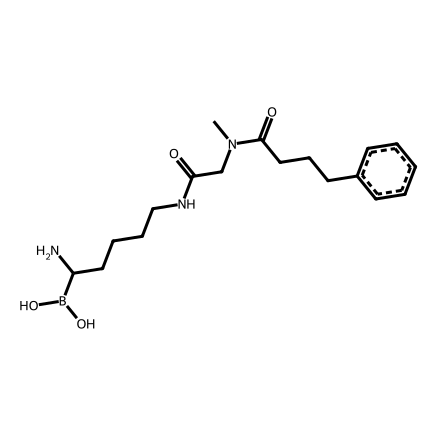 CN(CC(=O)NCCCCC(N)B(O)O)C(=O)CCCc1ccccc1